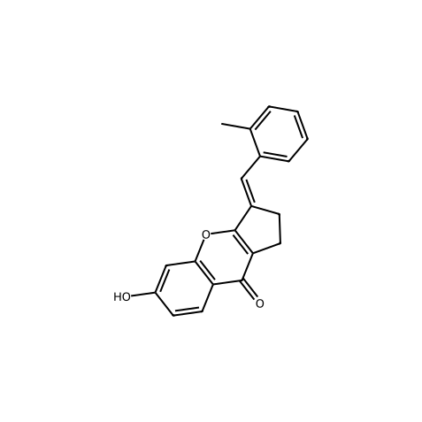 Cc1ccccc1/C=C1\CCc2c1oc1cc(O)ccc1c2=O